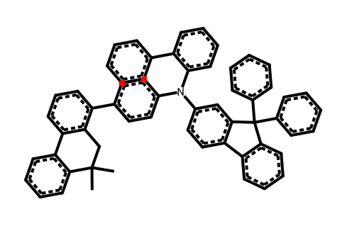 CC1(C)Cc2c(-c3ccc(N(c4ccc5c(c4)C(c4ccccc4)(c4ccccc4)c4ccccc4-5)c4ccccc4-c4ccccc4)cc3)cccc2-c2ccccc21